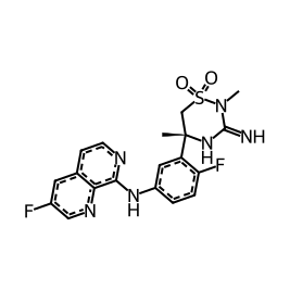 CN1C(=N)N[C@](C)(c2cc(Nc3nccc4cc(F)cnc34)ccc2F)CS1(=O)=O